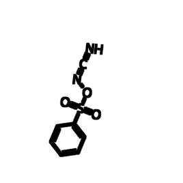 N=C=NOS(=O)(=O)c1ccccc1